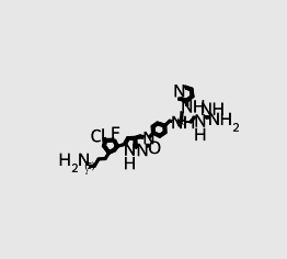 C[C@H](N)CCCc1cc(Cl)c(F)c(-c2cc3cn(-c4ccc(CN[C@H](CCNC(=N)N)CNc5cccnc5)cc4)c(=O)nc3[nH]2)c1